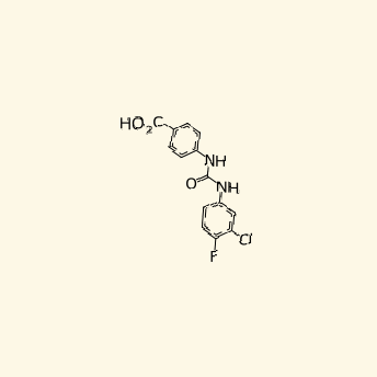 O=C(Nc1ccc(C(=O)O)cc1)Nc1ccc(F)c(Cl)c1